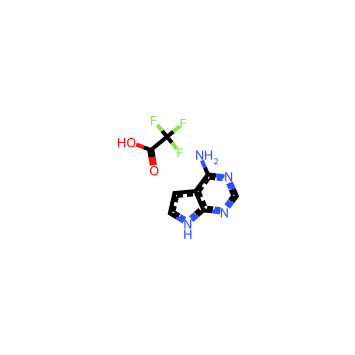 Nc1ncnc2[nH]ccc12.O=C(O)C(F)(F)F